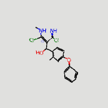 CN/C(Cl)=C(\C(=N)Cl)C(O)c1ccc(Oc2ccccc2)cc1C